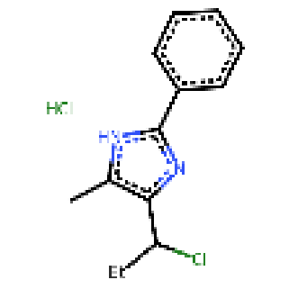 CCC(Cl)c1nc(-c2ccccc2)[nH]c1C.Cl